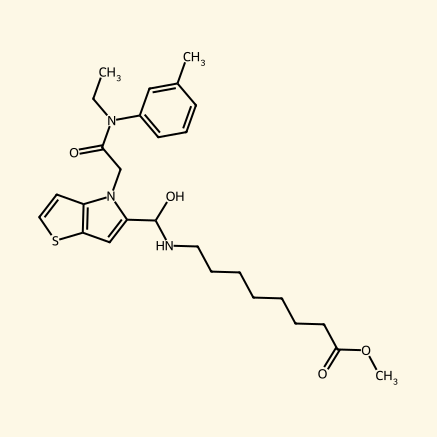 CCN(C(=O)Cn1c(C(O)NCCCCCCCC(=O)OC)cc2sccc21)c1cccc(C)c1